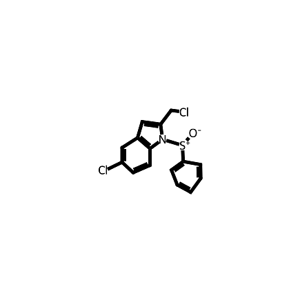 [O-][S+](c1ccccc1)n1c(CCl)cc2cc(Cl)ccc21